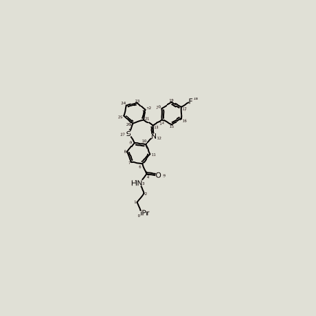 CC(C)CCNC(=O)c1ccc2c(c1)N=C(c1ccc(F)cc1)c1ccccc1S2